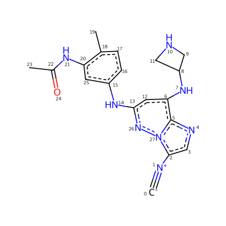 [C-]#[N+]c1cnc2c(NC3CNC3)cc(Nc3ccc(C)c(NC(C)=O)c3)nn12